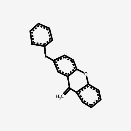 C=C1c2ccccc2Oc2ccc([I+]c3ccccc3)cc21